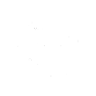 COc1ccc(Cl)cc1-c1c(SCC(=O)O)c(=O)[nH]c2ccc(C(F)(F)F)cc12